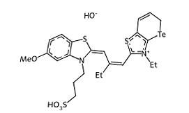 CCC(=Cc1sc2c([n+]1CC)[Te]CC=C2)C=C1Sc2ccc(OC)cc2N1CCCS(=O)(=O)O.[OH-]